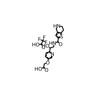 O=C(O)C(F)(F)F.O=C(O)COc1ccc(C(O)CNC(=O)c2cc3c(s2)CCNC3)nc1